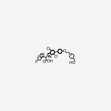 O=C(O)C(c1ncn2c1CC(F)C2)n1cc2c(Cl)cc(-c3ccc(OCCN4CCC(CO)CC4)cc3)c(Cl)c2n1